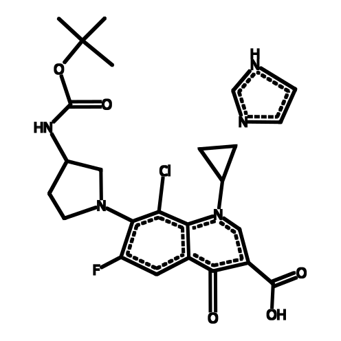 CC(C)(C)OC(=O)NC1CCN(c2c(F)cc3c(=O)c(C(=O)O)cn(C4CC4)c3c2Cl)C1.c1c[nH]cn1